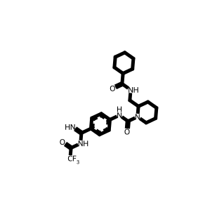 N=C(NC(=O)C(F)(F)F)c1ccc(NC(=O)N2CCCCC2CNC(=O)C2CCCCC2)cc1